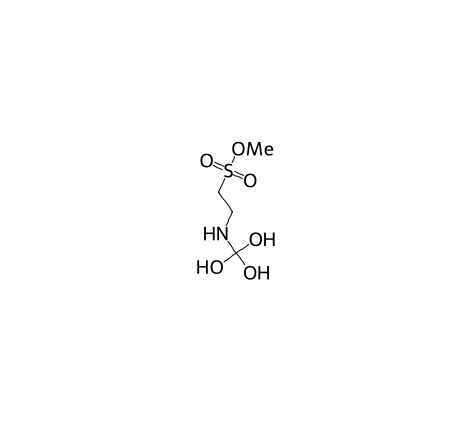 COS(=O)(=O)CCNC(O)(O)O